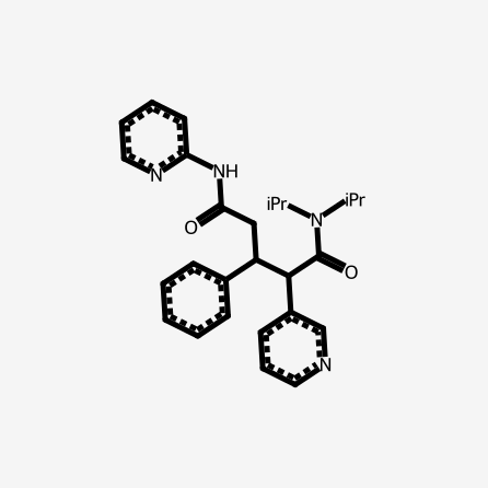 CC(C)N(C(=O)C(c1cccnc1)C(CC(=O)Nc1ccccn1)c1ccccc1)C(C)C